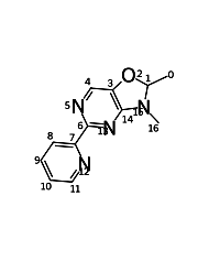 CC1Oc2cnc(-c3ccccn3)nc2N1C